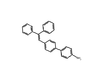 Nc1ccc(-c2ccc(C=C(c3ccccc3)c3ccccc3)cc2)cc1